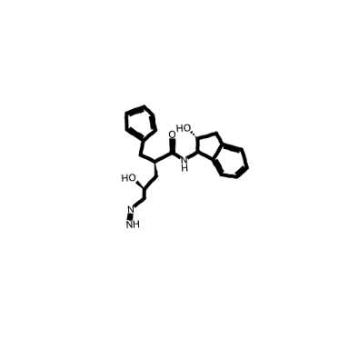 N=NC[C@@H](O)C[C@@H](Cc1ccccc1)C(=O)NC1c2ccccc2C[C@H]1O